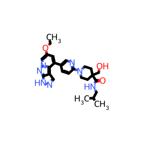 CCOc1cc(-c2ccc(N3CCC(CO)(C(=O)NCC(C)C)CC3)nc2)c2c3cn[nH]c3nn2c1